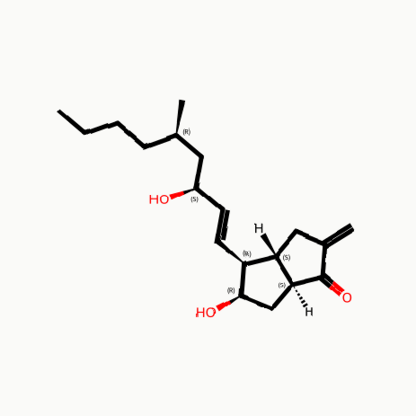 C=C1C[C@H]2[C@H](C=C[C@@H](O)C[C@H](C)CCCC)[C@H](O)C[C@@H]2C1=O